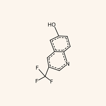 Oc1ccc2ncc(C(F)(F)F)cc2c1